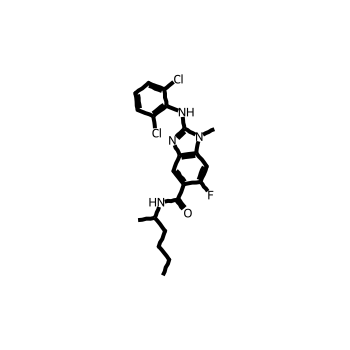 CCCCC(C)NC(=O)c1cc2nc(Nc3c(Cl)cccc3Cl)n(C)c2cc1F